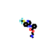 CN(C)CCOC(=O)c1ccccc1Nc1ccnc2c(SC(F)(F)F)cccc12